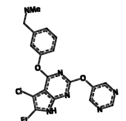 CCc1[nH]c2nc(Oc3cncnc3)nc(Oc3cccc(CNC)c3)c2c1Cl